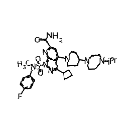 CC(C)N1CCN(C2CCN(c3cc(C(N)=O)nc4c3c(C3CCC3)nn4S(=O)(=O)N(C)c3ccc(F)cc3)CC2)CC1